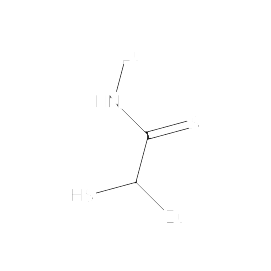 [CH2]CC(S)C(=S)NCC